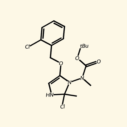 CN(C(=O)OC(C)(C)C)N1C(OCc2ccccc2Cl)=CNC1(C)Cl